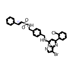 O=S(=O)(/C=C/c1ccccc1)NCc1ccc(CNc2cc(-c3ccccc3Cl)nc3c(Br)cnn23)cc1